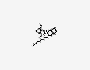 CCCCCCCCC[C@H]1Cc2ccccc2C[C@@H]1C(=O)Nc1c(SC)ncnc1SC